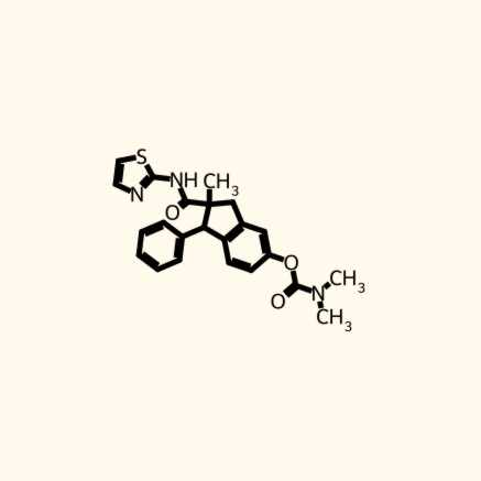 CN(C)C(=O)Oc1ccc2c(c1)CC(C)(C(=O)Nc1nccs1)C2c1ccccc1